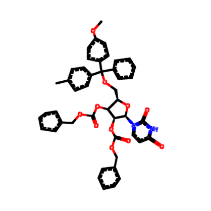 COc1ccc(C(OC[C@H]2O[C@@H](n3ccc(=O)[nH]c3=O)[C@@H](OC(=O)OCc3ccccc3)C2OC(=O)OCc2ccccc2)(c2ccccc2)c2ccc(C)cc2)cc1